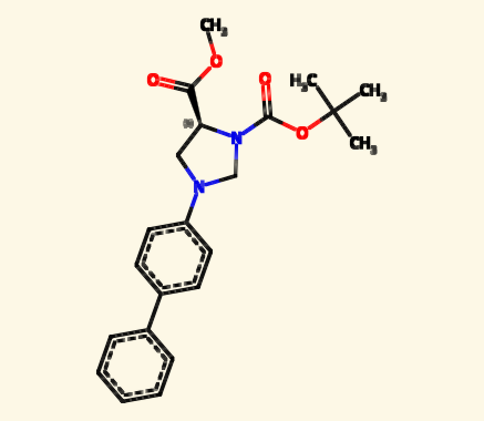 COC(=O)[C@@H]1CN(c2ccc(-c3ccccc3)cc2)CN1C(=O)OC(C)(C)C